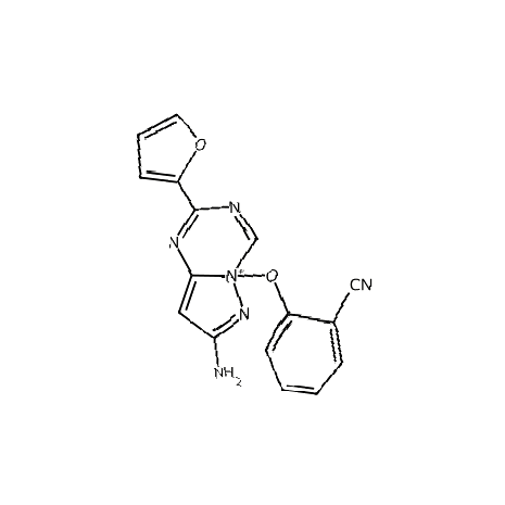 N#Cc1ccccc1O[N+]12C=NC(c3ccco3)=NC1=CC(N)=N2